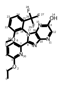 CCOc1cccc(-c2nc3ncc(O)nc3n2-c2c(OC)cccc2C(F)(F)F)n1